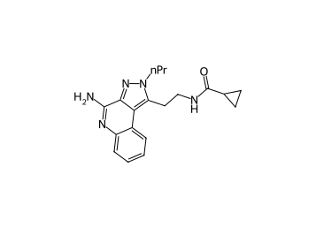 CCCn1nc2c(N)nc3ccccc3c2c1CCNC(=O)C1CC1